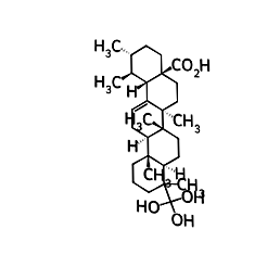 C[C@H]1[C@H](C)CC[C@]2(C(=O)O)CC[C@]3(C)C(=CC[C@@H]4[C@@]5(C)CCCC(C)(C(O)(O)O)[C@@H]5CC[C@]43C)[C@H]12